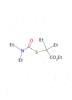 CCOC(=O)C(CC)(CC)SC(=O)N(CC)CC